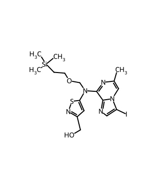 Cc1cn2c(I)cnc2c(N(COCC[Si](C)(C)C)c2cc(CO)ns2)n1